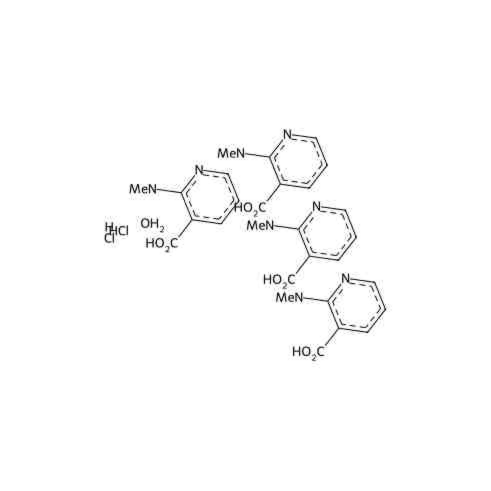 CNc1ncccc1C(=O)O.CNc1ncccc1C(=O)O.CNc1ncccc1C(=O)O.CNc1ncccc1C(=O)O.Cl.Cl.O